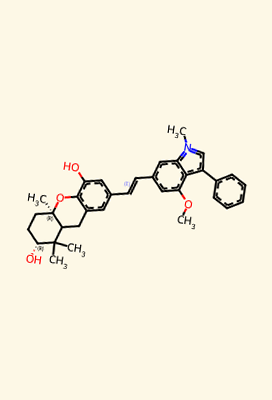 COc1cc(/C=C/c2cc(O)c3c(c2)CC2C(C)(C)[C@H](O)CC[C@@]2(C)O3)cc2c1c(-c1ccccc1)cn2C